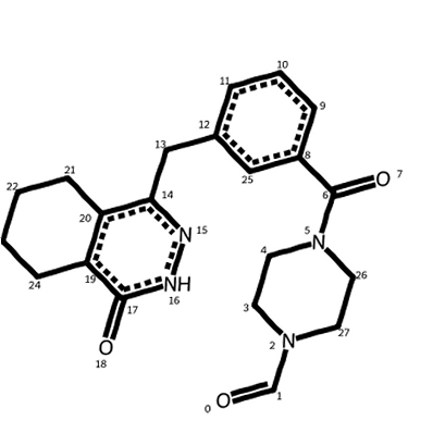 O=CN1CCN(C(=O)c2cccc(Cc3n[nH]c(=O)c4c3CCCC4)c2)CC1